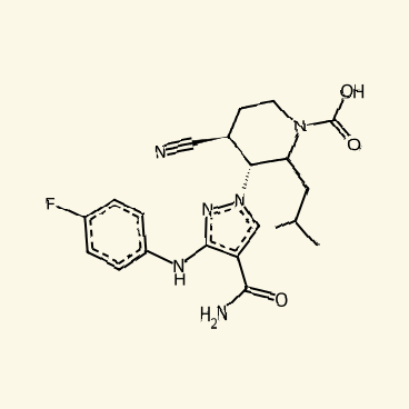 CC(C)CC1[C@H](n2cc(C(N)=O)c(Nc3ccc(F)cc3)n2)[C@@H](C#N)CCN1C(=O)O